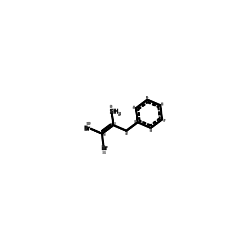 [SiH3]C(Cc1ccccc1)=C(Br)Br